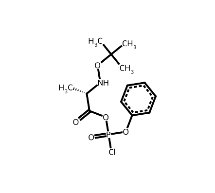 C[C@H](NOC(C)(C)C)C(=O)OP(=O)(Cl)Oc1ccccc1